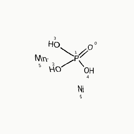 O=P(O)(O)O.[Mn].[Ni]